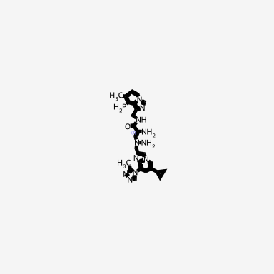 Cc1ccn2cnc(CNC(=O)/C(N)=C/N(N)Cc3cn4cc(C5CC5)cc(-n5cnnc5C)c4n3)c2c1P